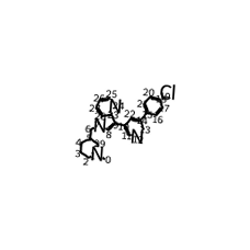 CN1CCCC(Cn2cc(-c3cncc(-c4ccc(Cl)cc4)c3)c3ncccc32)C1